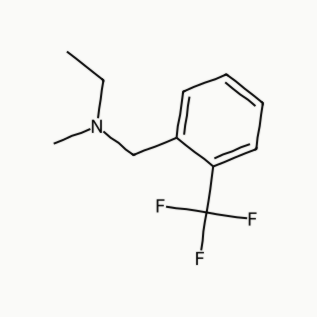 CCN(C)Cc1ccccc1C(F)(F)F